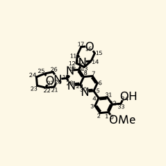 COc1ccc(-c2ccc3c(N4C5CCC4COC5)nc(N4CC5CCC(C4)O5)nc3n2)cc1CO